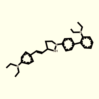 CCN(CC)c1ccc(C=CC2CCN(c3ccc(-c4ccccc4N(CC)CC)cc3)N2)cc1